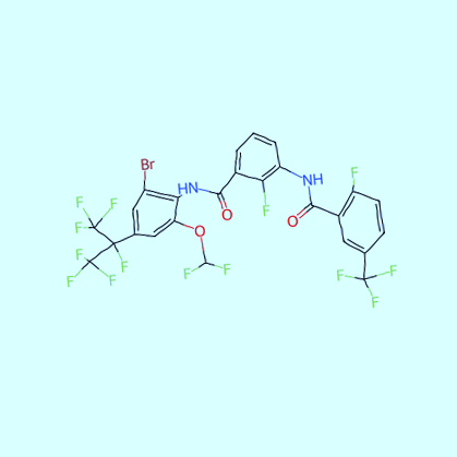 O=C(Nc1cccc(C(=O)Nc2c(Br)cc(C(F)(C(F)(F)F)C(F)(F)F)cc2OC(F)F)c1F)c1cc(C(F)(F)F)ccc1F